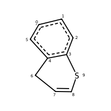 [c]1ccc2c(c1)CC=CS2